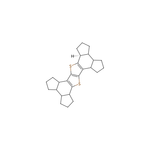 C1CC2c3sc4c5c(sc4c3C3CCCC3C2C1)[C@H]1CCCC1C1CCCC51